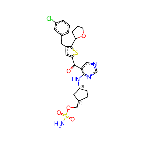 NS(=O)(=O)OC[C@@H]1CC[C@H](Nc2ncncc2C(=O)c2cc(Cc3cccc(Cl)c3)c(C3CCCO3)s2)C1